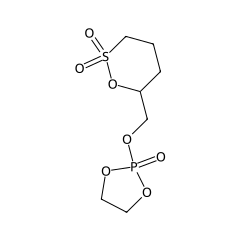 O=P1(OCC2CCCS(=O)(=O)O2)OCCO1